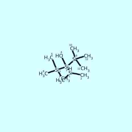 C[SiH](C)[Si](O)([Si](C)(C)C)[Si](C)(C)C